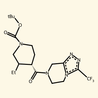 CCC1CN(C(=O)OC(C)(C)C)CC[C@@H]1C(=O)N1CCn2c(nnc2C(F)(F)F)C1